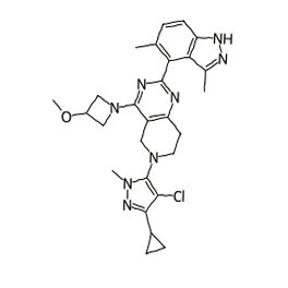 COC1CN(c2nc(-c3c(C)ccc4[nH]nc(C)c34)nc3c2CN(c2c(Cl)c(C4CC4)nn2C)CC3)C1